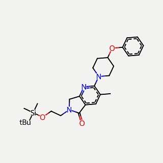 Cc1cc2c(nc1N1CCC(Oc3ccccc3)CC1)CN(CCO[Si](C)(C)C(C)(C)C)C2=O